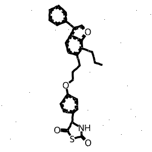 CCCc1c(CCCOc2ccc(C3NC(=O)SC3=O)cc2)ccc2c(-c3ccccc3)coc12